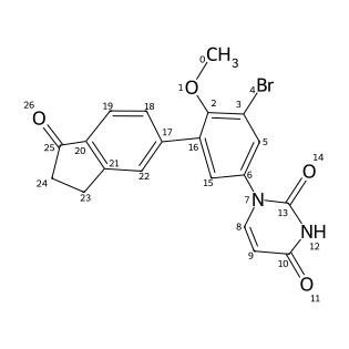 COc1c(Br)cc(-n2ccc(=O)[nH]c2=O)cc1-c1ccc2c(c1)CCC2=O